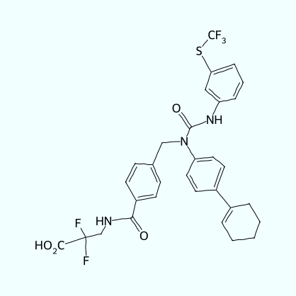 O=C(NCC(F)(F)C(=O)O)c1ccc(CN(C(=O)Nc2cccc(SC(F)(F)F)c2)c2ccc(C3=CCCCC3)cc2)cc1